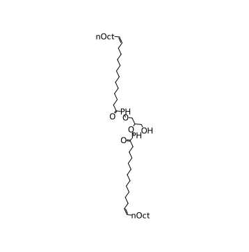 CCCCCCCC/C=C\CCCCCCCCCCCC(=O)POCC(CO)OPC(=O)CCCCCCCCCCC/C=C\CCCCCCCC